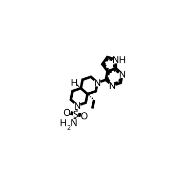 CC[C@@]12CN(c3ncnc4[nH]ccc34)CC[C@@H]1CCN(S(N)(=O)=O)C2